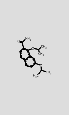 CC(C)Oc1ccc2ccc(C(N)=O)c(OC(C)C)c2c1